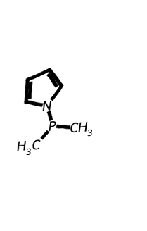 CP(C)n1cccc1